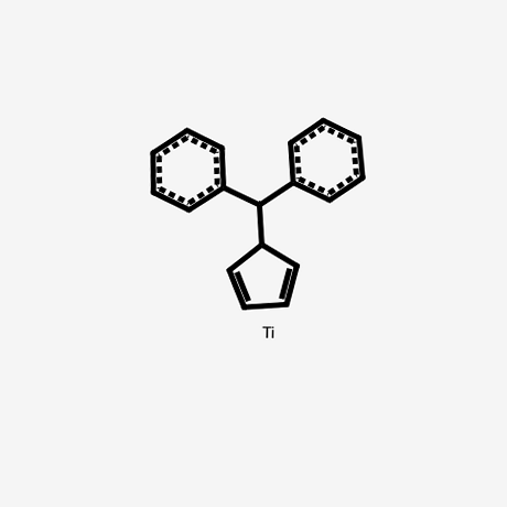 C1=CC([C](c2ccccc2)c2ccccc2)C=C1.[Ti]